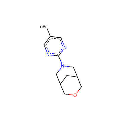 CCCc1cnc(N2CC3COCC(C3)C2)nc1